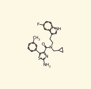 Cc1cccc(-c2sc(N)nc2C(=O)N(CCc2c[nH]c3ccc(F)cc23)CC2CC2)c1